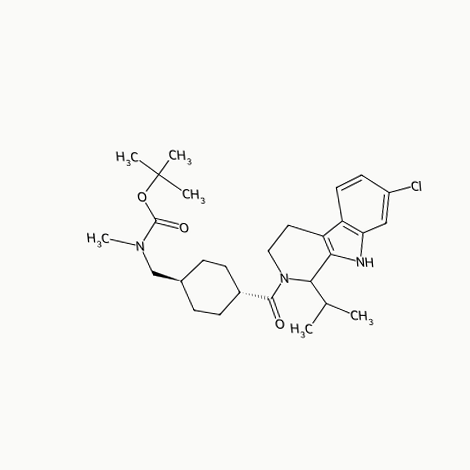 CC(C)C1c2[nH]c3cc(Cl)ccc3c2CCN1C(=O)[C@H]1CC[C@H](CN(C)C(=O)OC(C)(C)C)CC1